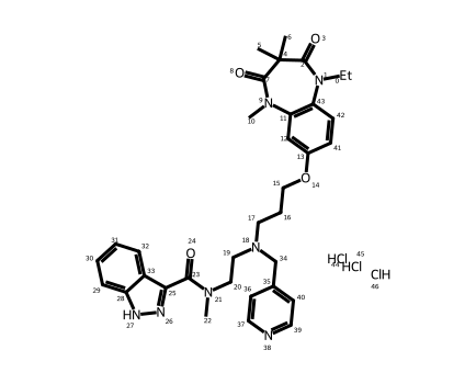 CCN1C(=O)C(C)(C)C(=O)N(C)c2cc(OCCCN(CCN(C)C(=O)c3n[nH]c4ccccc34)Cc3ccncc3)ccc21.Cl.Cl.Cl